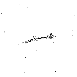 NCCCCOC(=O)OCCCCCCOP(=O)(O)O